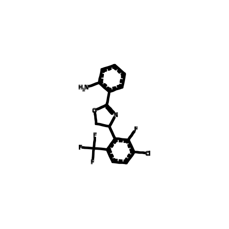 Nc1ccccc1C1=NC(c2c(C(F)(F)F)ccc(Cl)c2F)CO1